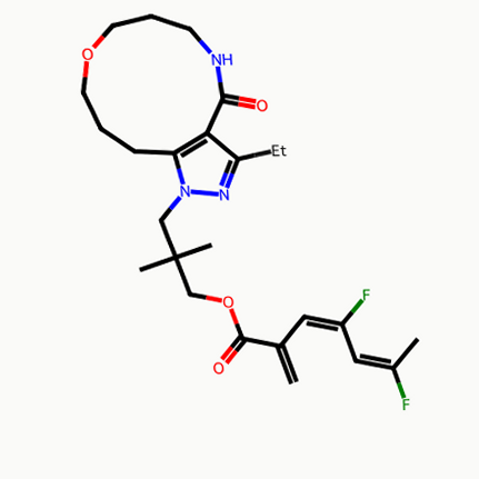 C=C(/C=C(F)\C=C(/C)F)C(=O)OCC(C)(C)Cn1nc(CC)c2c1CCCOCCCNC2=O